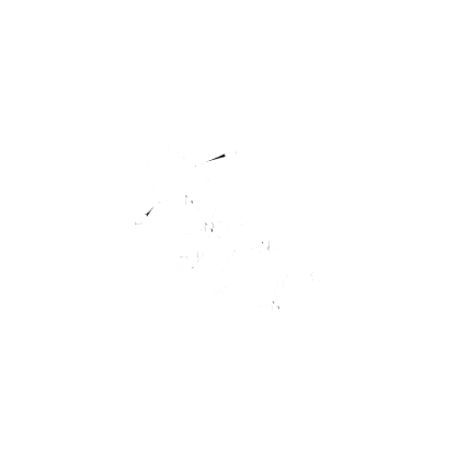 BC(=O)N1[C@@H]2CC[C@H]1CN(c1ccnc(Cl)n1)C2